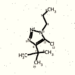 CCCn1nnc(C(C)(C)C)c1Cl